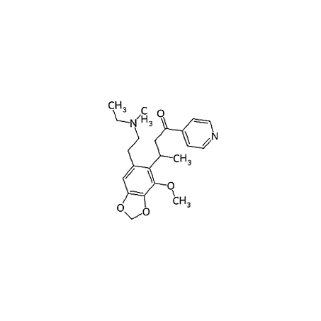 CCN(C)CCc1cc2c(c(OC)c1C(C)CC(=O)c1ccncc1)OCO2